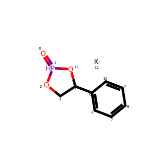 O=[PH]1OCC(c2ccccc2)O1.[K]